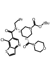 CC(C)CN(C(=O)c1cnc2ccsc2c1Cl)[C@H]1C[C@@H](C(=O)N2CCOCC2)CN(C(=O)OC(C)(C)C)C1